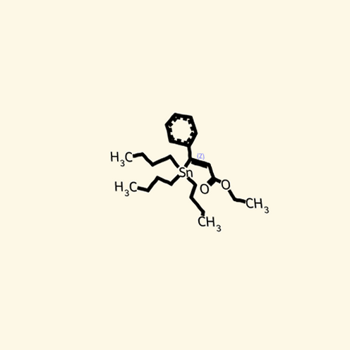 CCC[CH2][Sn]([CH2]CCC)([CH2]CCC)/[C](=C\C(=O)OCC)c1ccccc1